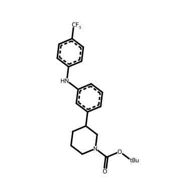 CC(C)(C)OC(=O)N1CCCC(c2cccc(Nc3ccc(C(F)(F)F)cc3)c2)C1